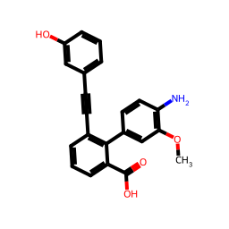 COc1cc(-c2c(C#Cc3cccc(O)c3)cccc2C(=O)O)ccc1N